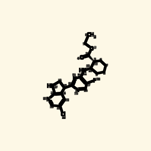 CCOC(=O)[C@@H]1CCCC[C@H]1Nc1nc(C2CNc3ncc(Cl)cc32)ncc1F